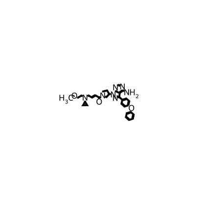 COCCN(CC=CC(=O)N1CCC(n2nc(-c3ccc(Oc4ccccc4)cc3)c3c(N)ncnc32)C1)C1CC1